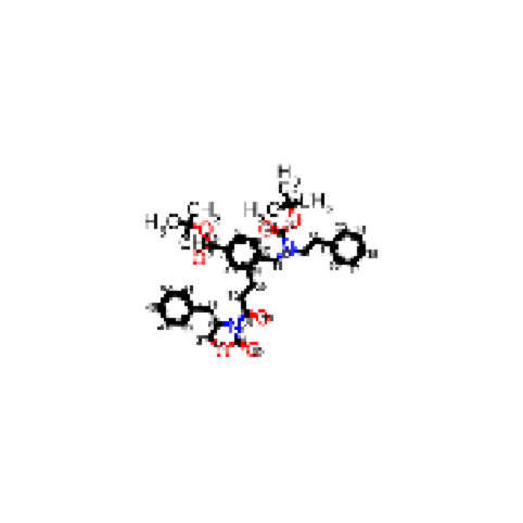 CC(C)(C)OC(=O)c1ccc(CN(CCc2ccccc2)C(=O)OC(C)(C)C)c(CCC(=O)N2C(=O)OC[C@H]2Cc2ccccc2)c1